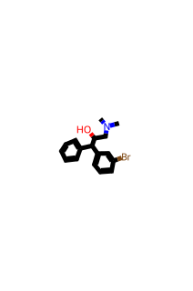 CN(C)CC(O)C(c1ccccc1)c1cccc(Br)c1